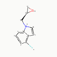 Fc1cccc2c1ccn2C[C@H]1CO1